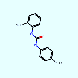 COc1ccccc1NC(=O)Nc1ccc(C=O)cc1